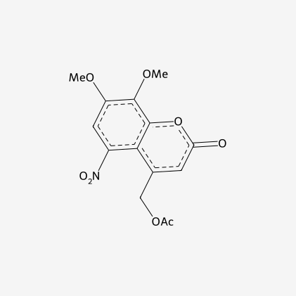 COc1cc([N+](=O)[O-])c2c(COC(C)=O)cc(=O)oc2c1OC